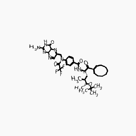 CC(C[C@H](NC(=O)c1ccc(N(CC2=NC3C(=O)NC(N)=NC3N=C2)C(=O)C(F)(F)F)cc1)C(=O)C1CCCCCCCC1)[C@H](C)OC(C)(C)C